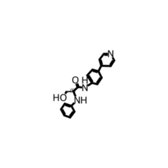 O=C(Nc1ccc(-c2ccncc2)cc1)[C@H](CO)Nc1ccccc1